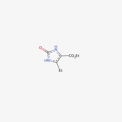 CCOC(=O)c1[nH]c(=O)[nH]c1CC